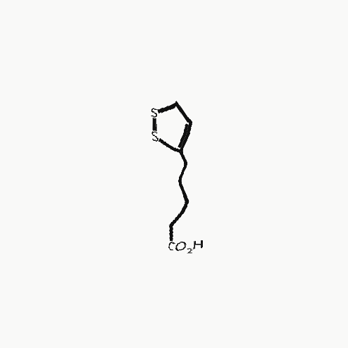 O=C(O)CCCCC1=CCSS1